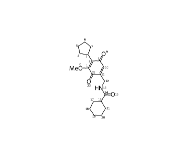 COC1=C(C2CCCC2)C(=O)C=C(CNC(=O)C2CCCCC2)C1=O